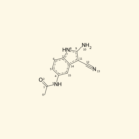 CC(=O)Nc1ccc2[nH]c(N)c(C#N)c2c1